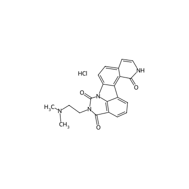 CN(C)CCn1c(=O)c2cccc3c4c5c(=O)[nH]ccc5ccc4n(c1=O)c23.Cl